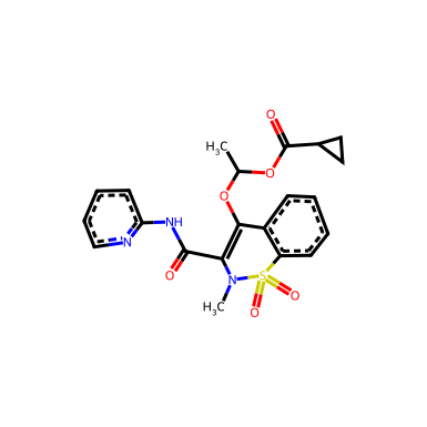 CC(OC(=O)C1CC1)OC1=C(C(=O)Nc2ccccn2)N(C)S(=O)(=O)c2ccccc21